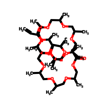 C=CC(=O)OCC(C)OCC(C)OCC(C)OCC(C)OCC(C)OCC(C)OCC(C)OCC(C)OCC(C)OCC(C)OCC(C)OCC(C)OCC(C)OC(=O)C=C